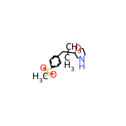 CC(C)(Cc1ccc(S(C)(=O)=O)cc1)C1CNCCO1